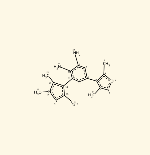 Cc1noc(C)c1-c1cc(N)c(N)c(-c2c(C)nn(C)c2C)c1